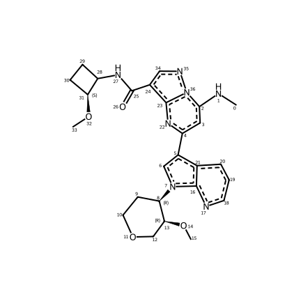 CNc1cc(-c2cn([C@@H]3CCOC[C@@H]3OC)c3ncccc23)nc2c(C(=O)NC3CC[C@@H]3OC)cnn12